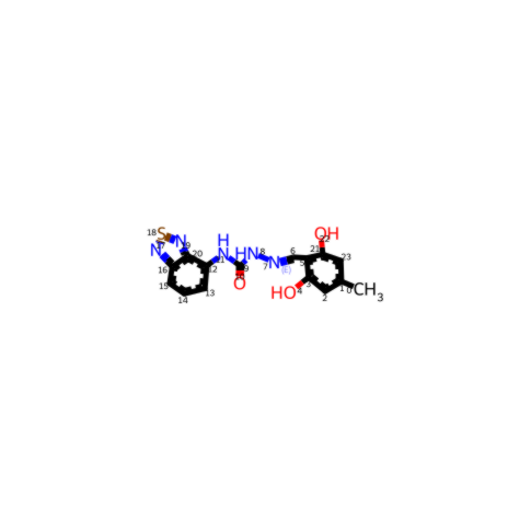 Cc1cc(O)c(/C=N/NC(=O)Nc2cccc3nsnc23)c(O)c1